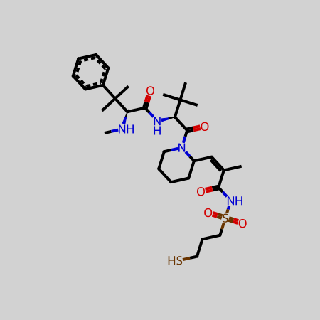 CN[C@H](C(=O)N[C@H](C(=O)N1CCCCC1C=C(C)C(=O)NS(=O)(=O)CCCS)C(C)(C)C)C(C)(C)c1ccccc1